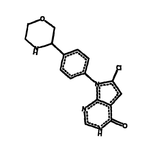 O=c1[nH]cnc2c1cc(Cl)n2-c1ccc(C2COCCN2)cc1